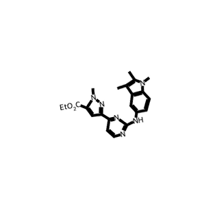 CCOC(=O)c1cc(-c2ccnc(Nc3ccc4c(c3)c(C)c(C)n4C)n2)nn1C